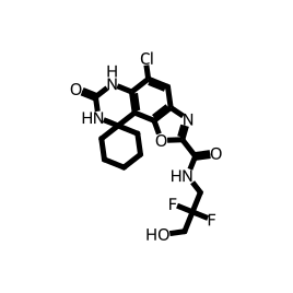 O=C1Nc2c(Cl)cc3nc(C(=O)NCC(F)(F)CO)oc3c2C2(CCCCC2)N1